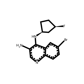 Nc1cnc2ccc(Br)cc2c1N[C@H]1CC[C@@H](F)C1